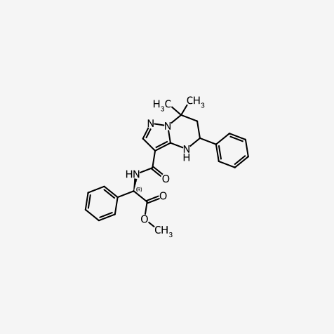 COC(=O)[C@H](NC(=O)c1cnn2c1NC(c1ccccc1)CC2(C)C)c1ccccc1